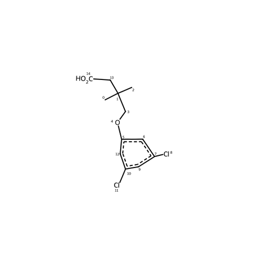 CC(C)(COc1cc(Cl)cc(Cl)c1)CC(=O)O